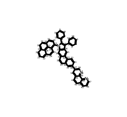 c1ccc(-c2c(-c3ccccc3)n(-c3ccc4ccc5cccc6ccc3c4c56)c3cc4ccc5cc(-c6cnc7c(ccc8cccnc87)c6)ccc5c4cc23)cc1